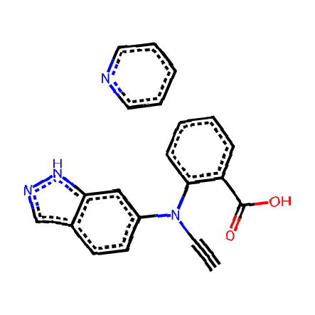 C#CN(c1ccc2cn[nH]c2c1)c1ccccc1C(=O)O.c1ccncc1